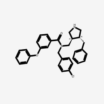 O=C(c1cccc(Oc2ccccc2)c1)N(Cc1ccc(Cl)cc1)C[C@H]1CNC[C@@H]1Cc1ccccc1